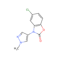 Cn1cc(-n2c(=O)oc3ccc(Cl)cc32)cn1